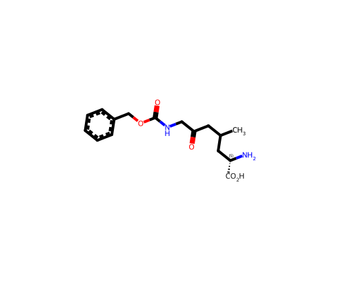 CC(CC(=O)CNC(=O)OCc1ccccc1)C[C@H](N)C(=O)O